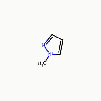 C[N+]1C=CC=N1